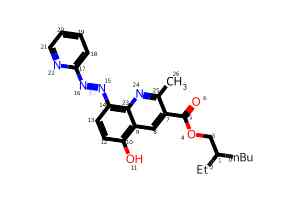 CCCCC(CC)COC(=O)c1cc2c(O)ccc(/N=N/c3ccccn3)c2nc1C